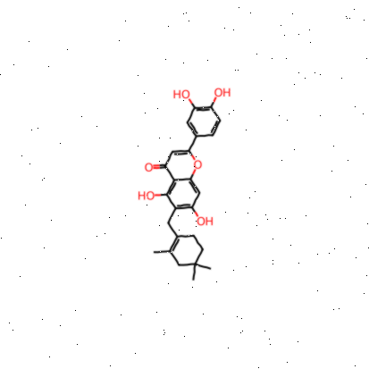 CC1=C(Cc2c(O)cc3oc(-c4ccc(O)c(O)c4)cc(=O)c3c2O)CCC(C)(C)C1